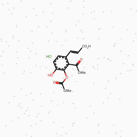 COC(=O)Oc1c(O)ccc(C=CC(=O)O)c1C(=O)OC.Cl